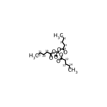 CCCCC(=O)OP(=O)(OC(=O)CCCC)OC(=O)CCCC